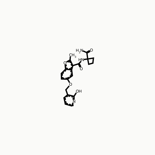 Cc1oc2ccc(OCc3cccnc3O)cc2c1C(=O)NC1(C(N)=O)CCC1